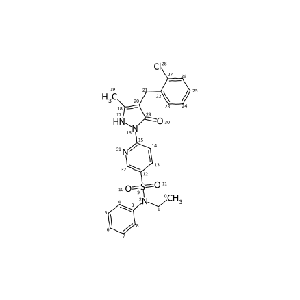 CCN(c1ccccc1)S(=O)(=O)c1ccc(-n2[nH]c(C)c(Cc3ccccc3Cl)c2=O)nc1